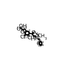 CSC(=CC(=O)c1cc2c(c(Cl)c1Cl)OC(C(=O)O)C2)NCc1ccco1